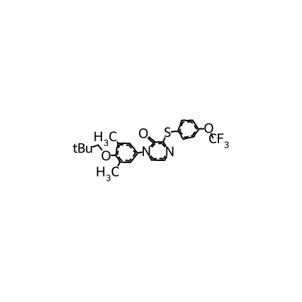 Cc1cc(-n2ccnc(Sc3ccc(OC(F)(F)F)cc3)c2=O)cc(C)c1OCC(C)(C)C